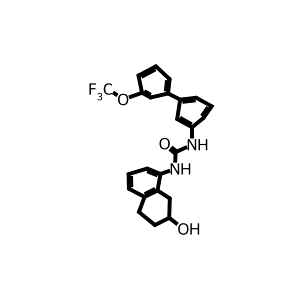 O=C(Nc1cccc(-c2cccc(OC(F)(F)F)c2)c1)Nc1cccc2c1CC(O)CC2